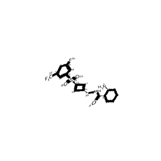 N[C@@H]1CCCC[C@@H]1C(=O)NC[C@H]1C[C@H](S(=O)(=O)c2cc(F)cc(C(F)(F)F)c2)C1